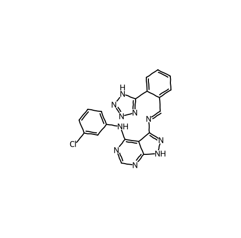 Clc1cccc(Nc2ncnc3[nH]nc(N=Cc4ccccc4-c4nnn[nH]4)c23)c1